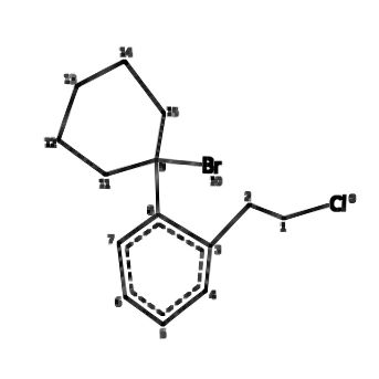 ClCCc1ccccc1C1(Br)CCCCC1